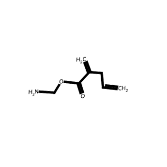 C=CCC(=C)C(=O)OCN